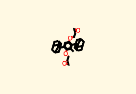 Cc1c(OCC2CO2)c(C23CC4CC(CC(C4)C2)C3)cc(OCC2CO2)c1C12CC3CC(CC(C3)C1)C2